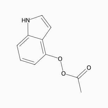 CC(=O)OOc1cccc2[nH]ccc12